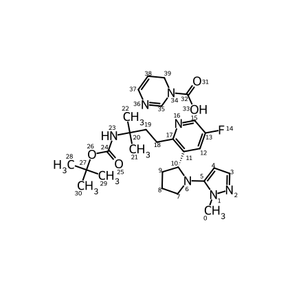 Cn1nccc1N1CCC[C@@H]1c1cc(F)cnc1CCC(C)(C)NC(=O)OC(C)(C)C.O=C(O)N1C=NC=CC1